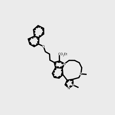 CCOC(=O)c1c(CCCOc2cccc3ccccc23)c2cccc3c2n1CCCCN(C)Cc1c-3cnn1C